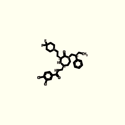 CC[C@H](CN1CC[C@@H](CNC(=O)c2ccc(Cl)c(Cl)c2)N[C@@H](CCN2CCC(F)(F)CC2)C1=O)c1ccccc1